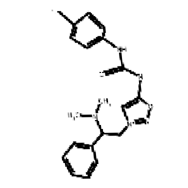 CN(C)C(C[n+]1cc([N-]C(=O)Nc2ccc(Cl)cc2)on1)c1ccccc1